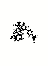 CCC(=O)N1CCN(c2ccc(C3(C(=O)N4CCC5(C4)OC(=O)c4ccccc45)CC3)c(F)c2)CC1